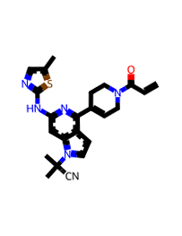 C=CC(=O)N1CC=C(c2nc(Nc3ncc(C)s3)cc3c2ccn3C(C)(C)C#N)CC1